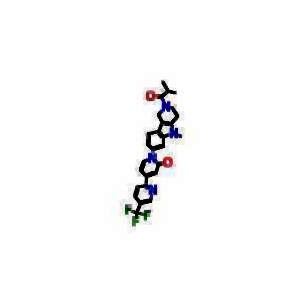 CC(C)C(=O)N1CCc2c(c3ccc(-n4ccc(-c5ccc(C(F)(F)F)cn5)cc4=O)cc3n2C)C1